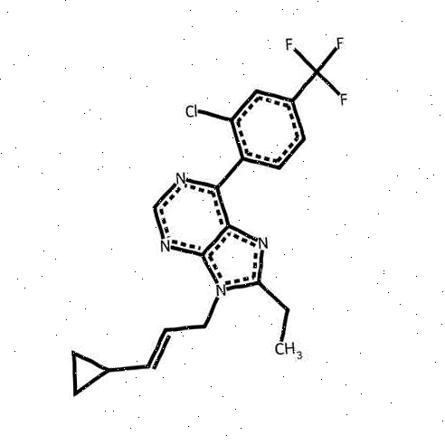 CCc1nc2c(-c3ccc(C(F)(F)F)cc3Cl)ncnc2n1CC=CC1CC1